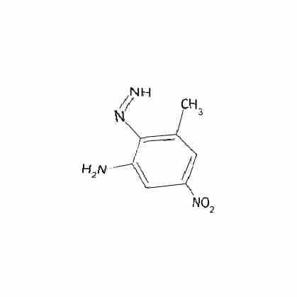 Cc1cc([N+](=O)[O-])cc(N)c1N=N